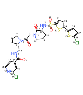 O=C(NC[C@@H]1CCCN1C(=O)CN1CCCC(NS(=O)(=O)c2ccc(-c3ccc(Cl)s3)s2)C1=O)c1ccnc(Cl)c1